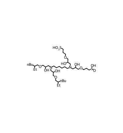 CCCCC(CC)COCC(O)CN(CCCCCCN(CC(O)COCCCS(=O)O)CC(O)COCCCS(=O)(=O)O)CC(O)COCC(CC)CCCC